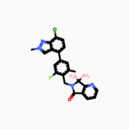 BC1(B)c2ncccc2C(=O)N1Cc1c(C)cc(-c2ccc(Cl)c3nn(C)cc23)cc1F